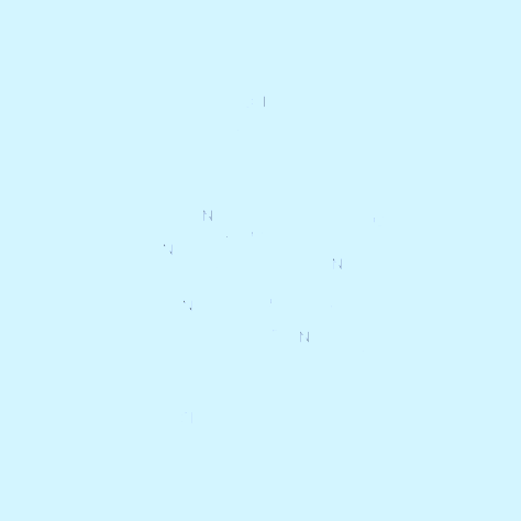 O=C(c1cc(-c2cc(Cl)ccc2C(=O)N2Cc3ccccc3C[C@H]2CN2CCOCC2)n2c1CCCC2)N(c1ccc(O)cc1)c1ccccn1